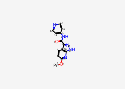 CC(C)Oc1ccc2c(C(=O)Nc3ccncc3)n[nH]c2n1